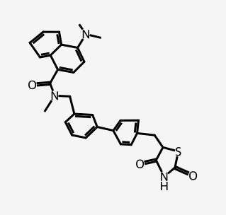 CN(Cc1cccc(-c2ccc(CC3SC(=O)NC3=O)cc2)c1)C(=O)c1ccc(N(C)C)c2ccccc12